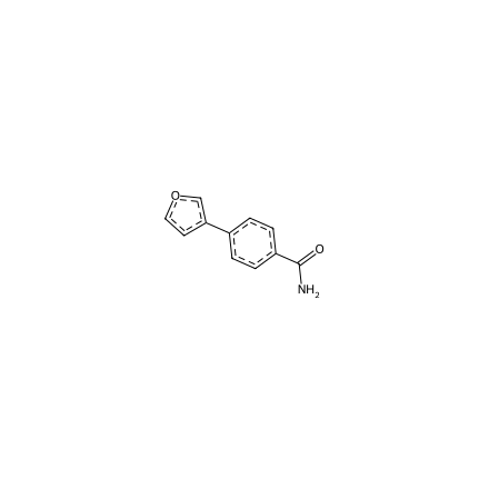 NC(=O)c1ccc(-c2ccoc2)cc1